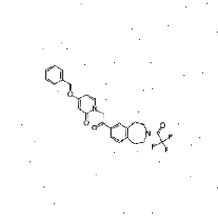 O=C(Cn1ccc(OCc2ccccc2)cc1=O)c1ccc2c(c1)CCN(C(=O)C(F)(F)F)CC2